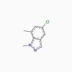 Cc1cc(Cl)cc2cnn(C)c12